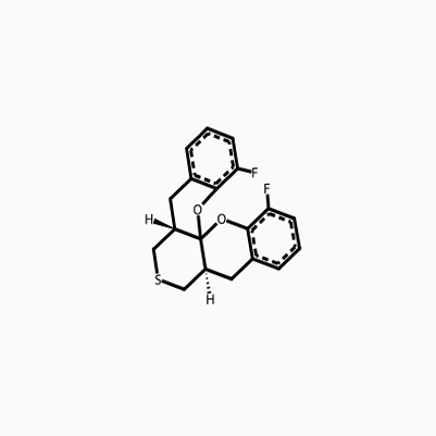 Fc1cccc2c1OC13Oc4c(F)cccc4C[C@H]1CSC[C@@H]3C2